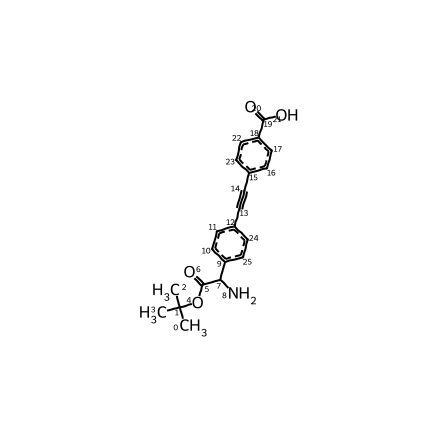 CC(C)(C)OC(=O)C(N)c1ccc(C#Cc2ccc(C(=O)O)cc2)cc1